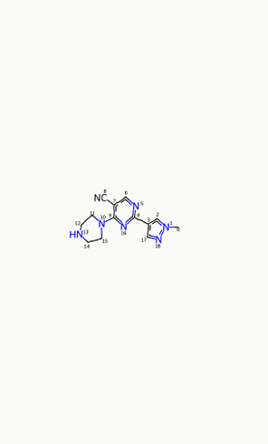 Cn1cc(-c2ncc(C#N)c(N3CCNCC3)n2)cn1